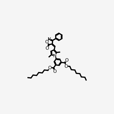 CCCCCCCCOC(=O)c1cc(C(=O)OCCCCCCCC)cc(-n2c(C)cc(C=C3C(=O)ON=C3c3ccccc3)c2C)c1